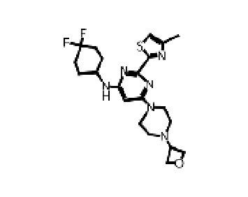 Cc1csc(-c2nc(NC3CCC(F)(F)CC3)cc(N3CCN(C4COC4)CC3)n2)n1